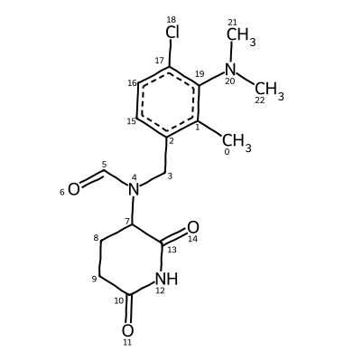 Cc1c(CN(C=O)C2CCC(=O)NC2=O)ccc(Cl)c1N(C)C